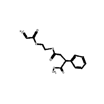 C=CC(=O)OCCOC(=O)CC(C(=O)OC)c1ccccc1